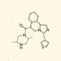 CC1CN(C(=O)c2cn3c(-c4ccsc4)ncc3c3ccccc23)C(C)CN1